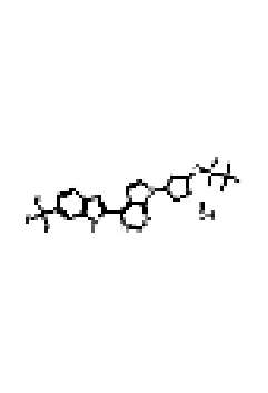 CC(C)(C)[Si](C)(C)OC1C[C@H](n2ccc3c(-c4cc5ccc(C(F)(F)F)cc5[nH]4)ncnc32)C[C@H]1CO